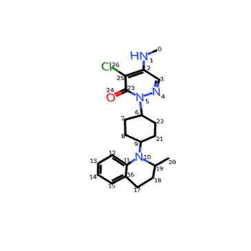 CNc1cnn(C2CCC(N3c4ccccc4CCC3C)CC2)c(=O)c1Cl